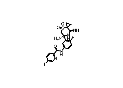 N=C1N[C@](N)(c2cc(NC(=O)c3ccc(F)cn3)ccc2F)CS(=O)(=O)C12CC2